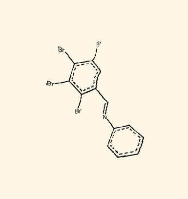 Brc1cc(/C=N/c2ccccc2)c(Br)c(Br)c1Br